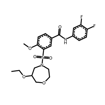 CCOC1COCCN(S(=O)(=O)c2cc(C(=O)Nc3ccc(F)c(F)c3)ccc2OC)C1